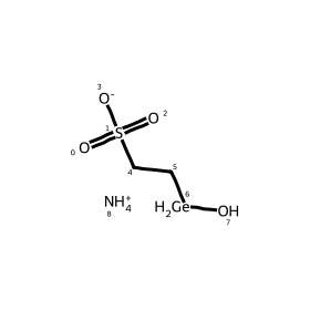 O=S(=O)([O-])C[CH2][GeH2][OH].[NH4+]